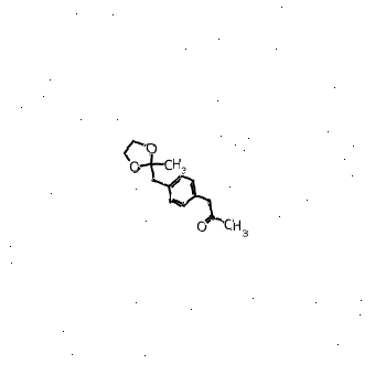 CC(=O)Cc1ccc(CC2(C)OCCO2)cc1